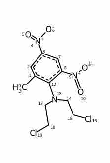 Cc1cc([N+](=O)[O-])cc([N+](=O)[O-])c1N(CCCl)CCCl